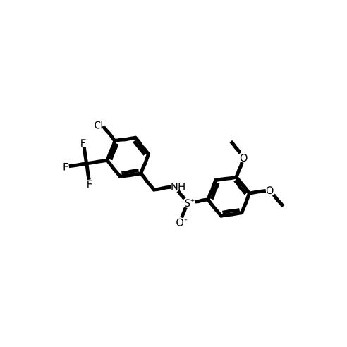 COc1ccc([S+]([O-])NCc2ccc(Cl)c(C(F)(F)F)c2)cc1OC